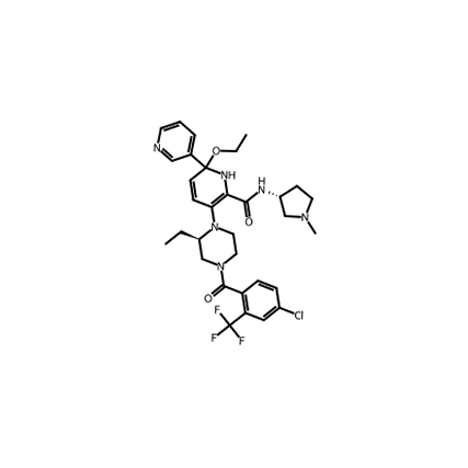 CCOC1(c2cccnc2)C=CC(N2CCN(C(=O)c3ccc(Cl)cc3C(F)(F)F)C[C@H]2CC)=C(C(=O)N[C@@H]2CCN(C)C2)N1